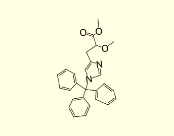 COC(=O)C(Cc1cn(C(c2ccccc2)(c2ccccc2)c2ccccc2)cn1)OC